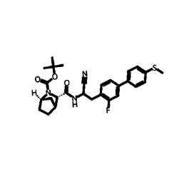 CSc1ccc(-c2ccc(CC(C#N)NC(=O)[C@@H]3C4CC[C@H](C4)N3C(=O)OC(C)(C)C)c(F)c2)cc1